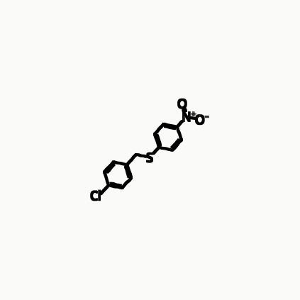 O=[N+]([O-])c1ccc(SCc2ccc(Cl)cc2)cc1